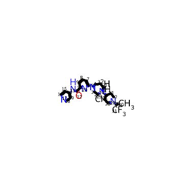 [2H]C1([2H])CCN(c2cccc(C(=O)Nc3ccncc3)n2)CC(C)N1C1CCN([C@@H](C)C(F)(F)F)CC1